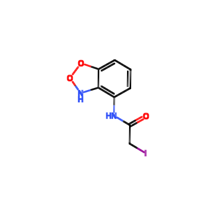 O=C(CI)Nc1cccc2c1NOO2